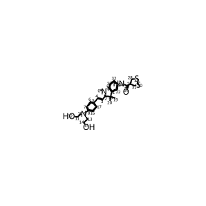 C[N+]1=C(/C=C/c2ccc(N(CCO)CCO)cc2)C(C)(C)c2cc(NC(=O)C3CSSC3)ccc21